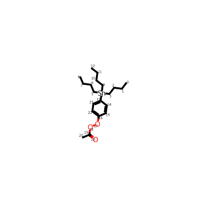 CCC[CH2][Sn]([CH2]CCC)([CH2]CCC)[c]1ccc(OOC(C)=O)cc1